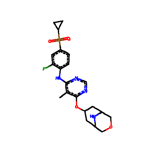 Cc1c(Nc2ccc(S(=O)(=O)C3CC3)cc2F)ncnc1OC1CC2COCC(C1)N2